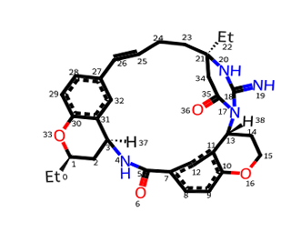 CC[C@@H]1C[C@@H]2NC(=O)c3ccc4c(c3)[C@@H](CCO4)N3C(=N)N[C@](CC)(CC/C=C/c4ccc(c2c4)O1)CC3=O